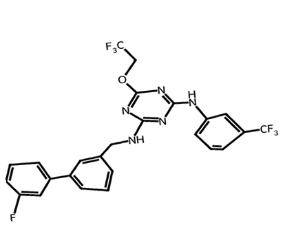 Fc1cccc(-c2cccc(CNc3nc(Nc4cccc(C(F)(F)F)c4)nc(OCC(F)(F)F)n3)c2)c1